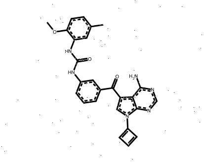 COc1ccc(C)cc1NC(=O)Nc1cccc(C(=O)c2cn(C3=CC=C3)c3ncnc(N)c23)c1